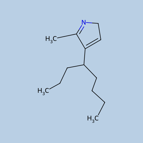 CCCCC(CCC)C1=CCN=C1C